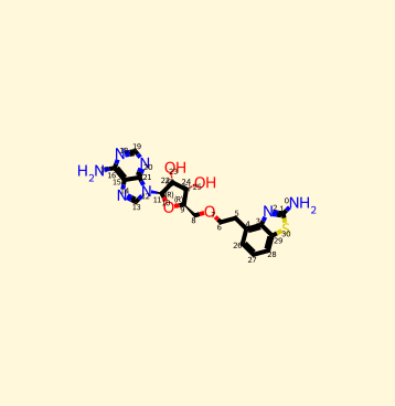 Nc1nc2c(CCOC[C@H]3O[C@@H](n4cnc5c(N)ncnc54)[C@H](O)[C@@H]3O)cccc2s1